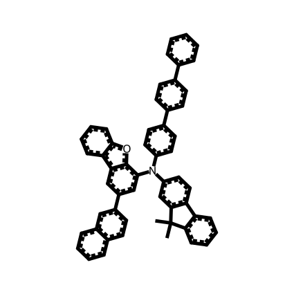 CC1(C)c2ccccc2-c2ccc(N(c3ccc(-c4ccc(-c5ccccc5)cc4)cc3)c3cc(-c4ccc5ccccc5c4)cc4c3oc3ccccc34)cc21